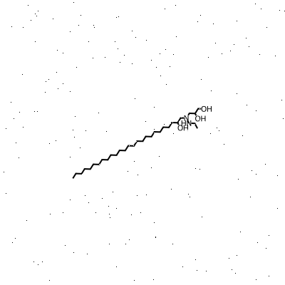 CCCCCCCCCCCCCCCCCCCCCCCCC(O)CN(CC(O)CO)NCC